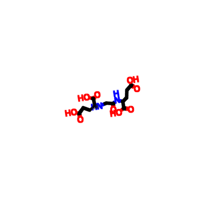 O=C(O)CCC(NC(=O)CN[C@@H](CCC(=O)O)C(=O)O)C(=O)O